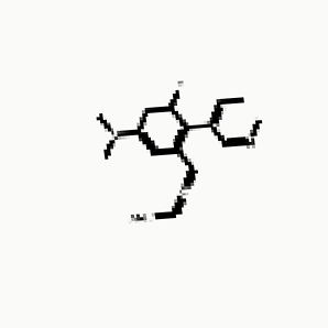 C/C=C(\C=N/C)C1=C(C=C=COC)C=C(N(C)C)CC1F